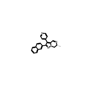 C[C@@H]1Cn2nc(-c3ccc4ccccc4c3)c(-c3ccncc3)c2C=N1